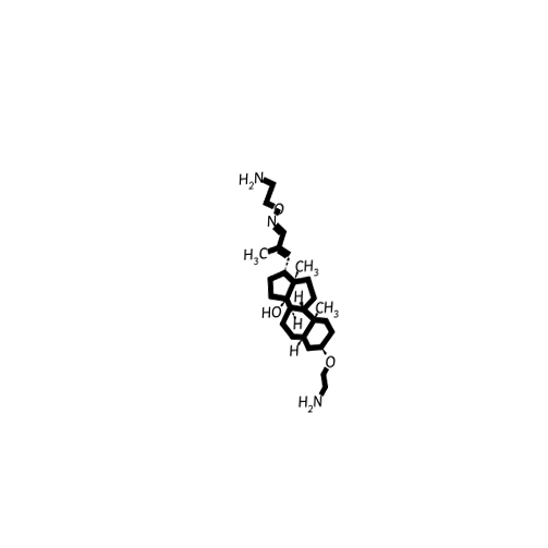 CC(/C=N/OCCN)=C\[C@H]1CC[C@]2(O)[C@@H]3CC[C@@H]4C[C@@H](OCCN)CC[C@]4(C)[C@H]3CC[C@]12C